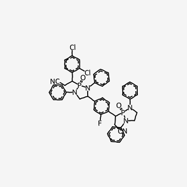 N#CCC(c1ccc(C2CN(c3ccccc3)P(=O)(C(CC#N)c3ccc(Cl)cc3Cl)N2c2ccccc2)cc1F)P1(=O)N(c2ccccc2)CCN1c1ccccc1